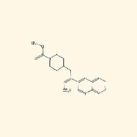 CC(C)(C)OC(=O)N1CCC(C/C(=C/C(=O)O)c2cnc3ccccc3c2)CC1